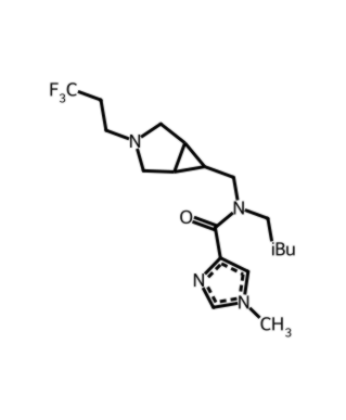 CCC(C)CN(CC1C2CN(CCC(F)(F)F)CC21)C(=O)c1cn(C)cn1